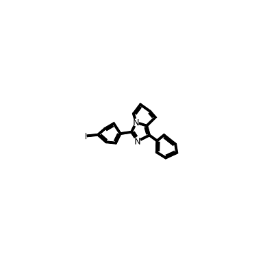 Ic1ccc(-c2nc(-c3ccccc3)c3ccccn23)cc1